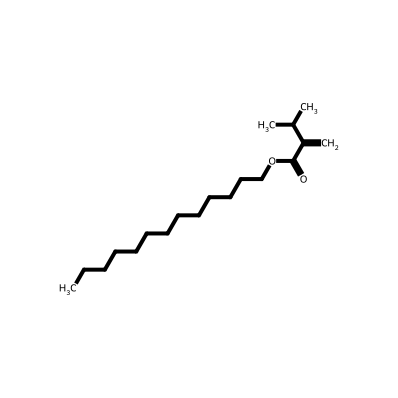 C=C(C(=O)OCCCCCCCCCCCCC)C(C)C